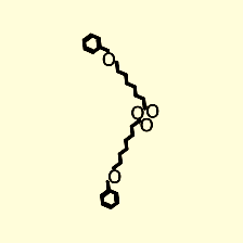 O=C(CCCCCCCOCc1ccccc1)OC(=O)CCCCCCCOCc1ccccc1